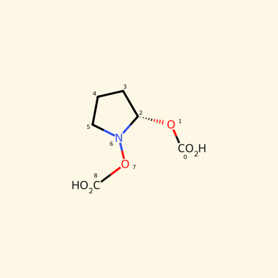 O=C(O)O[C@H]1CCCN1OC(=O)O